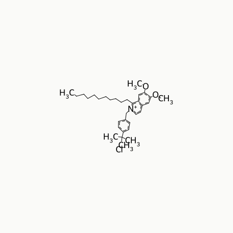 CCCCCCCCCCCc1c2cc(OC)c(OC)cc2cc[n+]1Cc1ccc(C(C)(C)C)cc1.[Cl-]